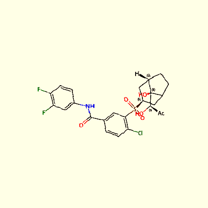 CC(=O)[C@@H](O)[C@@]1(O)C2CC[C@H]1C[C@H](S(=O)(=O)c1cc(C(=O)Nc3ccc(F)c(F)c3)ccc1Cl)C2